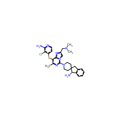 Cc1nc(N2CCC3(CC2)Cc2ccccc2[C@H]3N)n2cc(CN(C)C)nc2c1Sc1ccnc(N)c1Cl